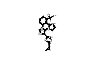 FC(F)(F)c1cccc2c1c1nccn1c1c(-c3noc(C4CC4)n3)ncn21